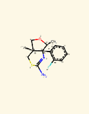 C[C@@H]1OC[C@H]2CSC(N)=N[C@]21c1ccccc1F